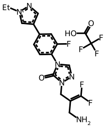 CCn1cc(-c2ccc(-n3cnn(CC(CN)=C(F)F)c3=O)c(F)c2)cn1.O=C(O)C(F)(F)F